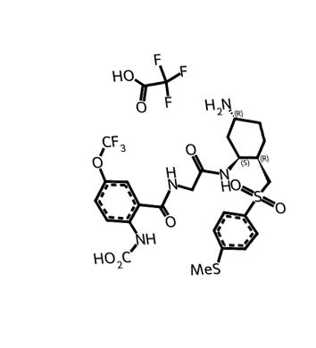 CSc1ccc(S(=O)(=O)C[C@@H]2CC[C@@H](N)C[C@@H]2NC(=O)CNC(=O)c2cc(OC(F)(F)F)ccc2NC(=O)O)cc1.O=C(O)C(F)(F)F